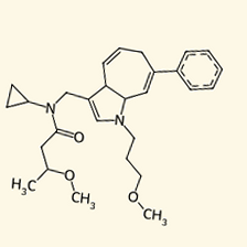 COCCCN1C=C(CN(C(=O)CC(C)OC)C2CC2)C2C=CCC(c3ccccc3)=CC21